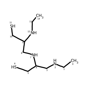 CCNCC(CS)NCC(CS)NCC